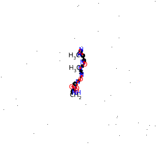 C=C1CCC(N2C(=O)c3ccc(N4CC(OCCN5CC6(CC(N(C)[C@H]7C[C@H](Oc8ccc(-c9ccc%10c%11cnccc%11n(C)c%10c9)cn8)C7)C6)C5)C4)cc3C2=O)C(=O)N1